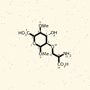 COC1OC(C(=O)O)[C@@H](OC)[C@H](O)[C@H]1OCC(N)C(=O)O